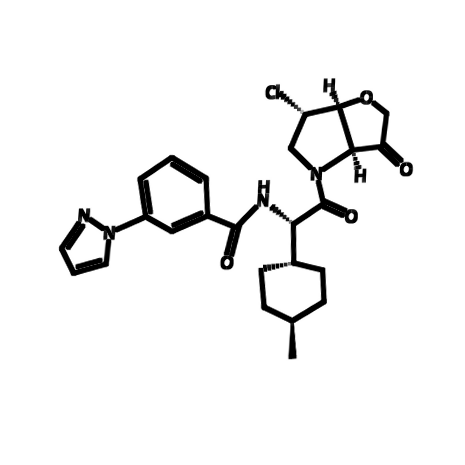 C[C@H]1CC[C@H]([C@H](NC(=O)c2cccc(-n3cccn3)c2)C(=O)N2C[C@H](Cl)[C@H]3OCC(=O)[C@H]32)CC1